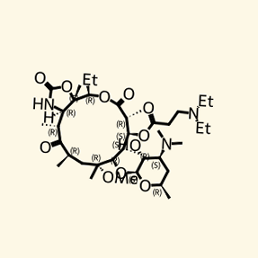 CC[C@H]1OC(=O)[C@H](C)[C@@H](OC(=O)CCN(CC)CC)[C@H](C)[C@@H](O[C@@H]2O[C@H](C)C[C@H](N(C)C)[C@H]2O)[C@](C)(OC)C[C@@H](C)C(=O)[C@H](C)[C@H]2NC(=O)O[C@@]21C